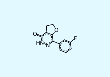 O=c1[nH]nc(-c2cccc(F)c2)c2c1CCO2